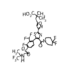 C[C@H](NS(=O)(=O)c1ccc(-c2sc(-c3cc(CC(C)(C)C(=O)O)on3)nc2C(=O)N2CCC(F)(F)CC2)c(C(F)F)c1F)C(F)(F)F